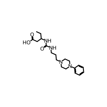 CCC(CC(=O)O)NC(=O)NCCCN1CCN(c2ccccc2)CC1